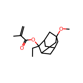 C=C(C)C(=O)OC1(CC)C2CC3CC1CC(OC)(C3)C2